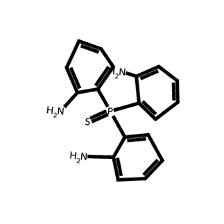 Nc1ccccc1P(=S)(c1ccccc1N)c1ccccc1N